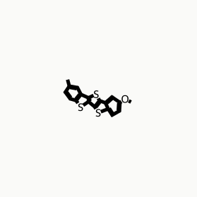 COc1ccc2sc3c(sc4c5cc(C)ccc5sc43)c2c1